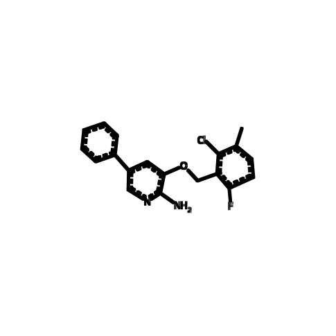 Cc1ccc(F)c(COc2cc(-c3ccccc3)cnc2N)c1Cl